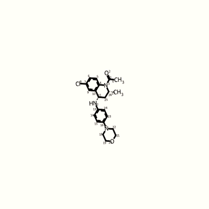 CC(=O)N1c2ccc(Cl)cc2[C@@H](Nc2ccc(N3CCOCC3)cc2)C[C@H]1C